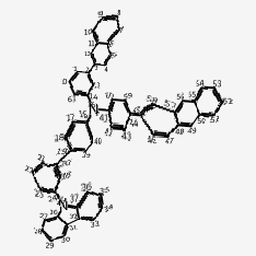 c1cc(-c2ccc3ccccc3c2)cc(N(c2ccc(-c3cccc(-n4c5ccccc5c5ccccc54)c3)cc2)c2ccc(-c3ccc4cc5ccccc5cc4c3)cc2)c1